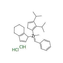 CC(C)C1=CC[C]([Zr]([CH3])(=[CH]c2ccccc2)[CH]2C=CC3=C2CCCC3)=C1C(C)C.Cl.Cl